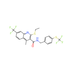 CCSc1nc2cc(C(F)(F)F)ccc2c(C)c1C(=O)NCc1ccc(SC(F)(F)F)cc1